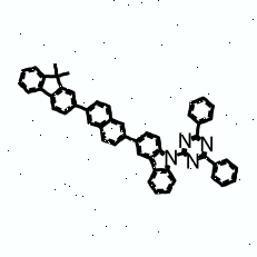 CC1(C)c2ccccc2-c2ccc(-c3ccc4cc(-c5ccc6c(c5)c5ccccc5n6-c5nc(-c6ccccc6)nc(-c6ccccc6)n5)ccc4c3)cc21